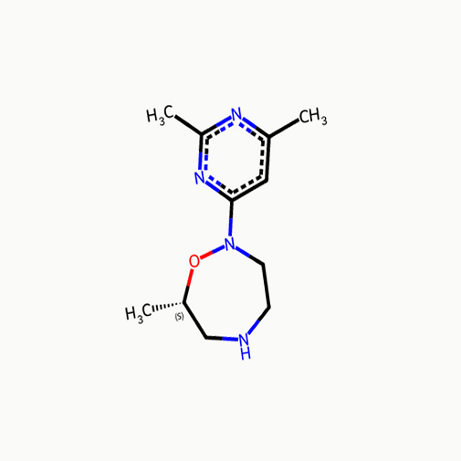 Cc1cc(N2CCNC[C@H](C)O2)nc(C)n1